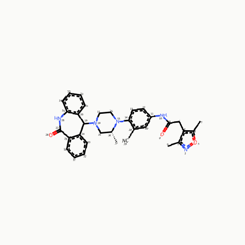 Cc1noc(C)c1CC(=O)Nc1ccc(N2CCN(C3c4ccccc4NC(=O)c4ccccc43)C[C@H]2C)c(C#N)c1